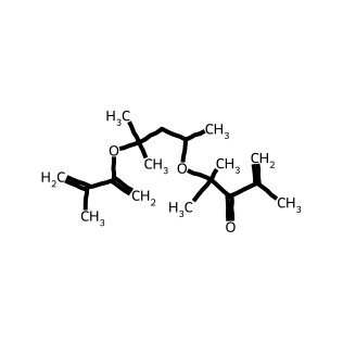 C=C(C)C(=C)OC(C)(C)CC(C)OC(C)(C)C(=O)C(=C)C